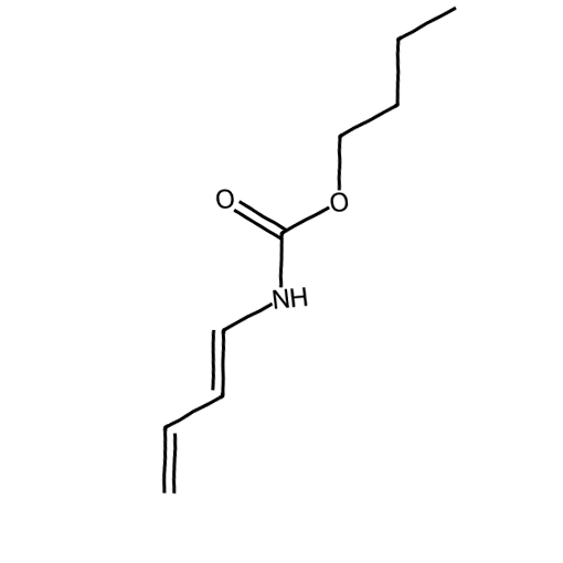 C=CC=CNC(=O)OCCCC